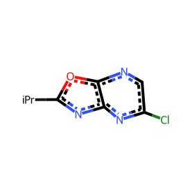 CC(C)c1nc2nc(Cl)cnc2o1